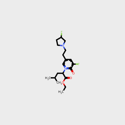 CCOC(=O)C(CC(C)C)n1cc(CCN2CCC(F)C2)cc(F)c1=O